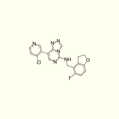 Fc1ccc2c(c1CNc1ncc(-c3cnccc3Cl)c3nncn13)CCO2